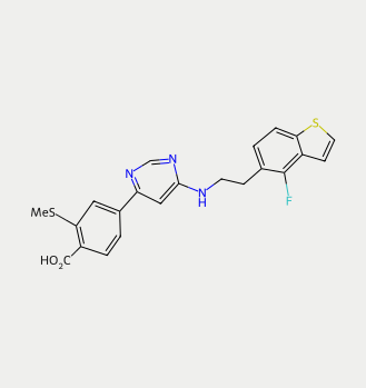 CSc1cc(-c2cc(NCCc3ccc4sccc4c3F)ncn2)ccc1C(=O)O